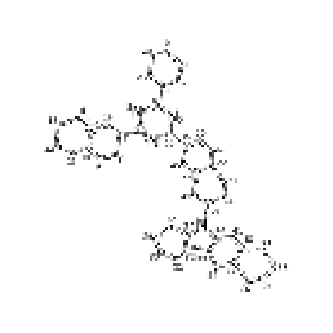 c1ccc(-c2nc(-c3ccc4ccccc4c3)nc(-c3ccc4ccc(-n5c6ccccc6c6cc7ccccc7cc65)cc4c3)n2)cc1